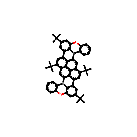 CC(C)(C)c1cc2c3c(c1)-c1cc(C(C)(C)C)c4cc5c6c(cc(C(C)(C)C)c7cc(c1c4c76)B3c1ccccc1O2)-c1cc(C(C)(C)C)cc2c1B5c1ccccc1O2